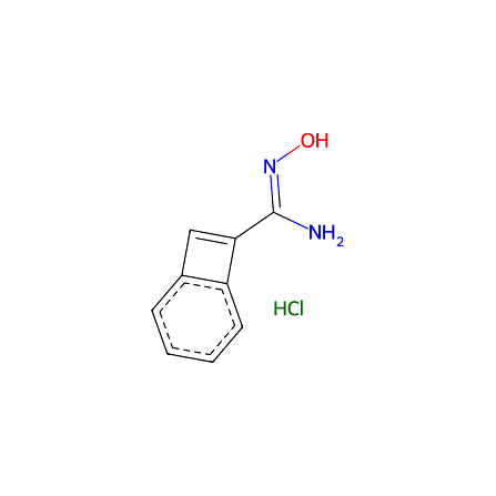 Cl.NC(=NO)C1=Cc2ccccc21